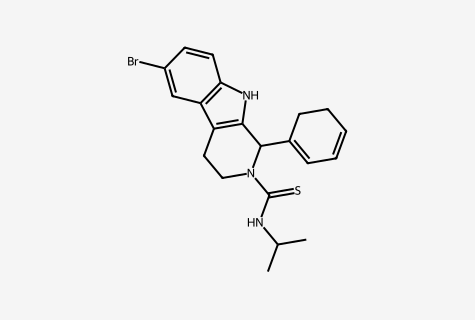 CC(C)NC(=S)N1CCc2c([nH]c3ccc(Br)cc23)C1C1=CC=CCC1